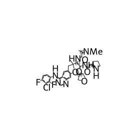 CN[C@@H](C)C(=O)N[C@H](C(=O)NC(=O)[C@@H]1CCCN1)C(C)(C)Cc1cc2c(Nc3ccc(F)c(Cl)c3F)ncnc2cc1O[C@H]1CCOC1